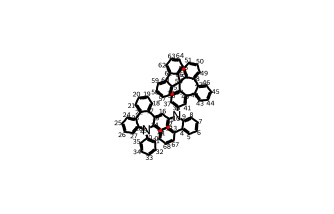 c1ccc(-c2ccccc2N(c2ccc3c(c2)-c2ccccc2-c2ccccc2N3c2ccccc2)c2ccc3c(c2)-c2ccccc2-c2ccccc2C32c3ccccc3-c3ccccc32)cc1